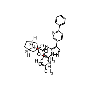 CC(=O)Nc1cc([C@H]2C[C@H]3CC[C@@H](C2)N3C(=O)OC(C)(C)C)nc2c(-c3ccc(-c4ccccc4)nc3)cnn12